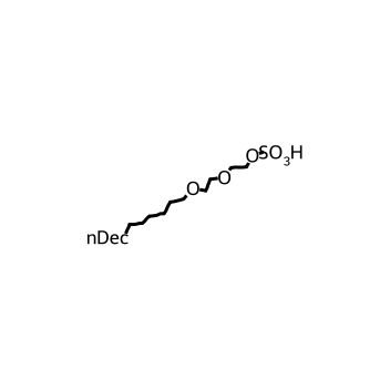 CCCCCCCCCCCCCCCCOCCOCCOS(=O)(=O)O